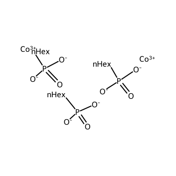 CCCCCCP(=O)([O-])[O-].CCCCCCP(=O)([O-])[O-].CCCCCCP(=O)([O-])[O-].[Co+3].[Co+3]